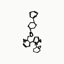 c1ccc(C2CCC(OCc3ncccc3-c3ccnn3C3CCCCO3)CC2)cc1